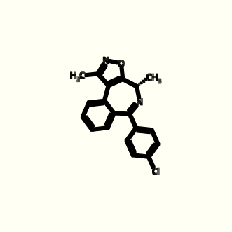 Cc1noc2c1-c1ccccc1C(c1ccc(Cl)cc1)=N[C@H]2C